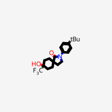 CC(C)(C)c1ccc(N2CCC3(CCC(O)(C(F)(F)F)CC3)C2=O)cc1